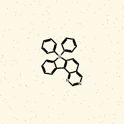 c1ccc([Si]2(c3ccccc3)c3ccccc3-c3c2ccc2cncnc32)cc1